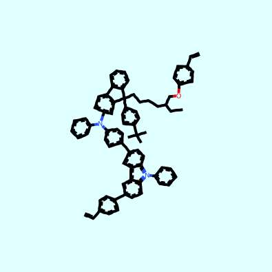 C=Cc1ccc(OCC(CC)CCCCC2(c3ccc(C(C)(C)C)cc3)c3ccccc3-c3ccc(N(c4ccccc4)c4ccc(-c5ccc6c(c5)c5cc(-c7ccc(C=C)cc7)ccc5n6-c5ccccc5)cc4)cc32)cc1